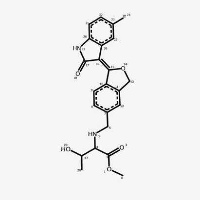 COC(=O)C(NCc1ccc2c(c1)COC2=C1C(=O)Nc2ccc(F)cc21)C(C)O